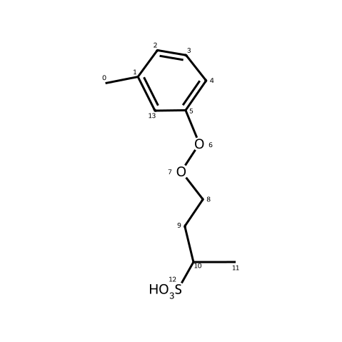 Cc1cccc(OOCCC(C)S(=O)(=O)O)c1